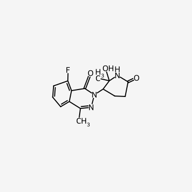 Cc1nn(C2CCC(=O)NC2(C)O)c(=O)c2c(F)cccc12